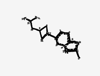 Cc1nc2ccc(N3CC(CC(F)F)C3)cn2n1